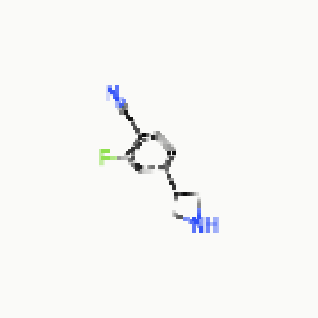 N#Cc1ccc(C2CNC2)cc1F